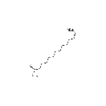 CCCC/C=C\CCCCCCCCCCC(=O)C(F)(F)F